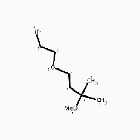 COC(C)(C)CCOCCC(C)C